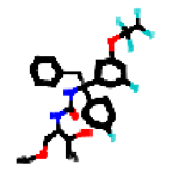 CCCCOC[C@@H](NC(=O)N[C@](Cc1ccccc1)(c1ccc(F)cc1)c1cc(F)cc(OC(F)(F)C(F)F)c1)[C@@H](O)C(F)(F)F